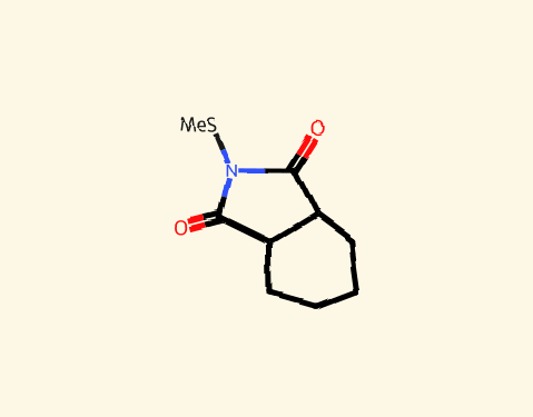 CSN1C(=O)C2CCCCC2C1=O